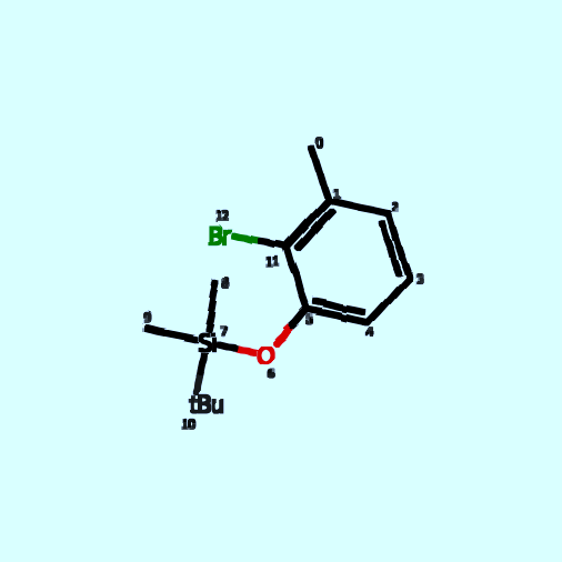 Cc1cccc(O[Si](C)(C)C(C)(C)C)c1Br